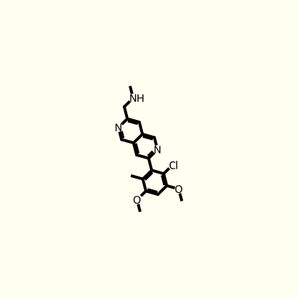 CNCc1cc2cnc(-c3c(C)c(OC)cc(OC)c3Cl)cc2cn1